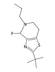 CCCN1CCc2sc(C(C)(C)C)nc2C1F